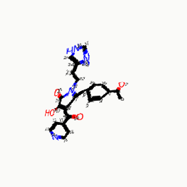 CC(=O)c1ccc(C2C(C(=O)c3ccncc3)=C(O)C(=O)N2CCc2c[nH]cn2)cc1